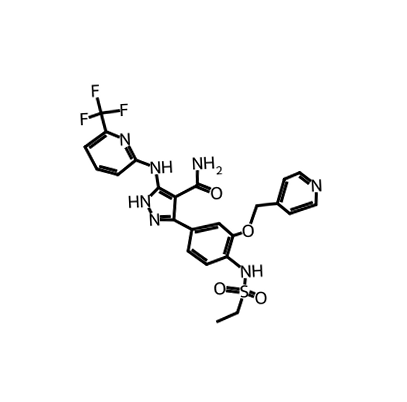 CCS(=O)(=O)Nc1ccc(-c2n[nH]c(Nc3cccc(C(F)(F)F)n3)c2C(N)=O)cc1OCc1ccncc1